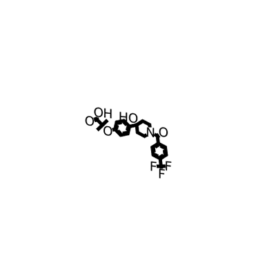 CC(C)(Oc1ccc(C2(O)CCN(C(=O)c3ccc(C(F)(F)F)cc3)CC2)cc1)C(=O)O